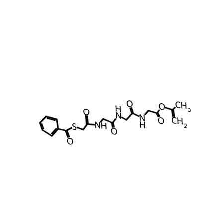 C=C(C)OC(=O)CNC(=O)CNC(=O)CNC(=O)CSC(=O)c1ccccc1